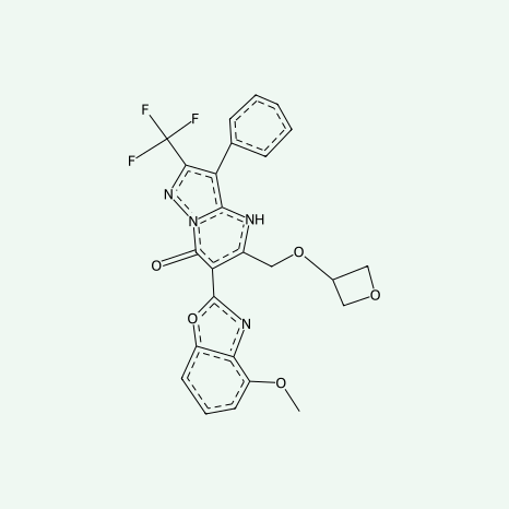 COc1cccc2oc(-c3c(COC4COC4)[nH]c4c(-c5ccccc5)c(C(F)(F)F)nn4c3=O)nc12